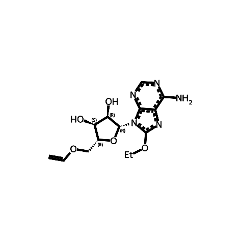 C=COC[C@H]1O[C@@H](n2c(OCC)nc3c(N)ncnc32)[C@H](O)[C@@H]1O